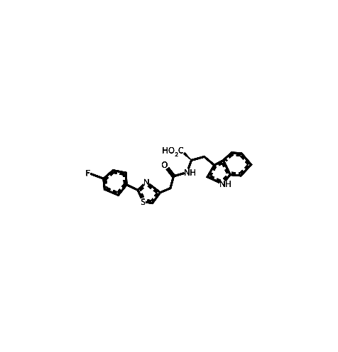 O=C(Cc1csc(-c2ccc(F)cc2)n1)N[C@H](Cc1c[nH]c2ccccc12)C(=O)O